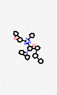 c1ccc(-c2cccc(-c3cccc4oc5c(-c6nc(-c7ccccc7)nc(-c7ccc8oc9ccccc9c8c7)n6)cc(-n6c7ccccc7c7ccccc76)cc5c34)c2)cc1